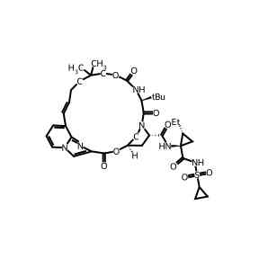 CC[C@@H]1C[C@]1(NC(=O)[C@@H]1C[C@@H]2CN1C(=O)[C@H](C(C)(C)C)NC(=O)OCC(C)(C)CC/C=C/c1cccn3cc(nc13)C(=O)O2)C(=O)NS(=O)(=O)C1CC1